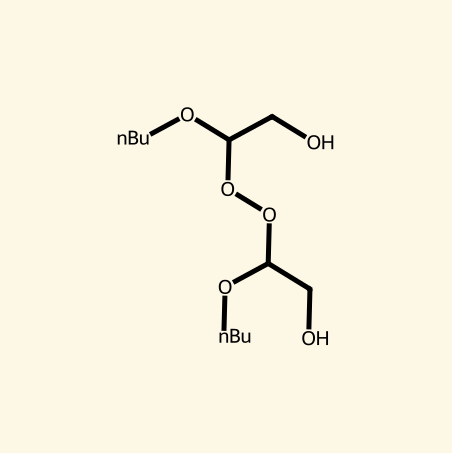 CCCCOC(CO)OOC(CO)OCCCC